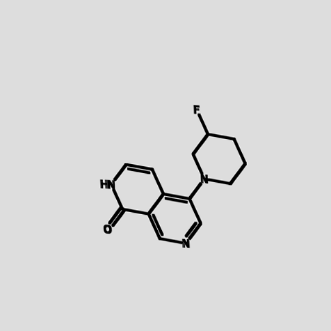 O=c1[nH]ccc2c(N3CCCC(F)C3)cncc12